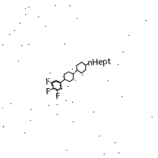 CCCCCCCC1CCC(C2CCC(c3cc(F)c(F)c(F)c3)CC2)CC1